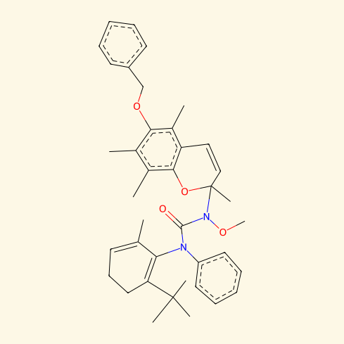 CON(C(=O)N(C1=C(C(C)(C)C)CCC=C1C)c1ccccc1)C1(C)C=Cc2c(C)c(OCc3ccccc3)c(C)c(C)c2O1